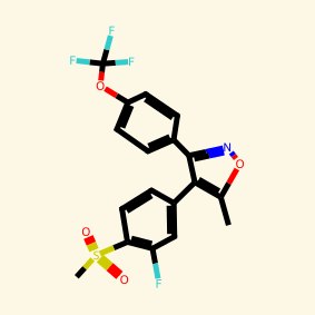 Cc1onc(-c2ccc(OC(F)(F)F)cc2)c1-c1ccc(S(C)(=O)=O)c(F)c1